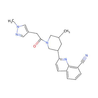 CC1CC(c2ccc3cccc(C#N)c3n2)CN(C(=O)Cc2cnn(C)c2)C1